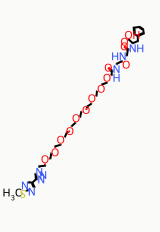 CSc1ncc(-c2cn(CCOCCOCCOCCOCCOCCOCCOCCOCCOCC(=O)NCC(=O)NCC(=O)NC(Cc3ccccc3)C(=O)O)nn2)cn1